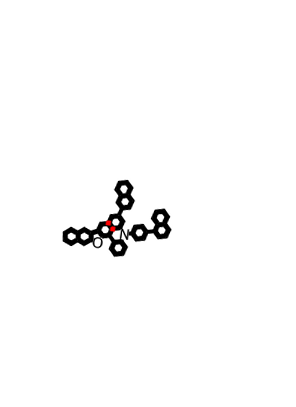 c1cc(-c2ccc3ccccc3c2)cc(N(c2ccc(-c3cccc4ccccc34)cc2)c2ccccc2-c2cccc3c2oc2cc4ccccc4cc23)c1